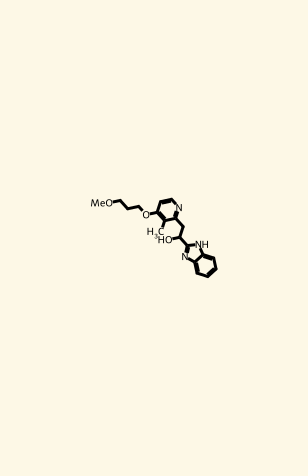 COCCCOc1ccnc(CC(O)c2nc3ccccc3[nH]2)c1C